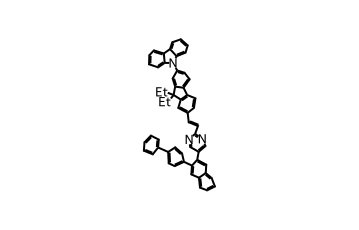 CCC1(CC)c2cc(/C=C/c3ncc(-c4cc5ccccc5cc4-c4ccc(-c5ccccc5)cc4)cn3)ccc2-c2ccc(-n3c4ccccc4c4ccccc43)cc21